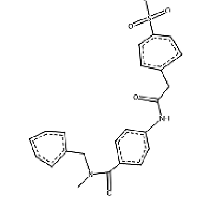 CCS(=O)(=O)c1ccc(CC(=O)Nc2ccc(C(=O)N(C)Cc3ccccc3)cc2)cc1